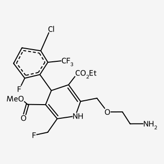 CCOC(=O)C1=C(COCCN)NC(CF)=C(C(=O)OC)C1c1c(F)ccc(Cl)c1C(F)(F)F